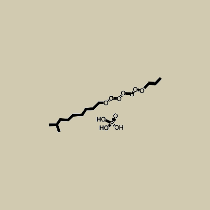 CC=COOOOOOOCCCCCCCC(C)C.O=P(O)(O)O